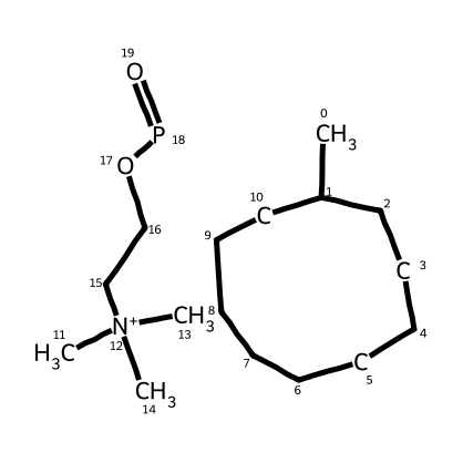 CC1CCCCCCCCC1.C[N+](C)(C)CCOP=O